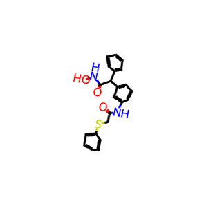 O=C(CSc1ccccc1)Nc1cccc(C(C(=O)NO)c2ccccc2)c1